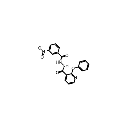 O=C(NNC(=O)c1cccnc1Oc1ccccc1)c1cccc([N+](=O)[O-])c1